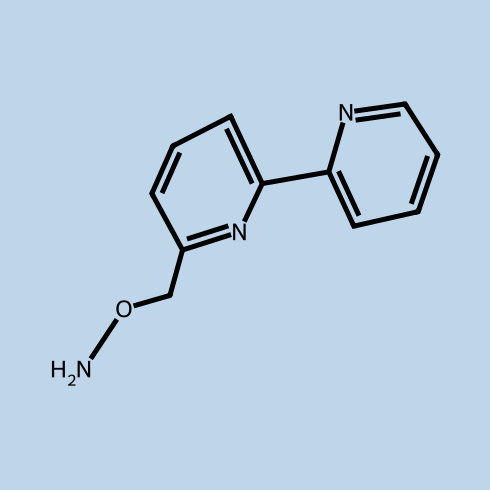 NOCc1cccc(-c2ccccn2)n1